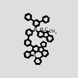 CC1(C)c2ccccc2-c2ccc(N(c3cccc(-c4cccc(-c5cc6c7c8c5c5ccccc5n8C5CC=CC=C5c5cccc(c5-7)C65CCCC5)c4)c3)c3cc(-c4ccccc4)cc(-c4ccccc4)c3)cc21